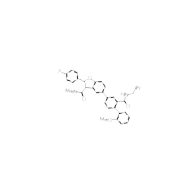 CNC(=O)C1c2cc(-c3ccc(-c4ccccc4OC)c(C(=O)NCC(C)C)c3)ccc2OC1c1ccc(F)cc1